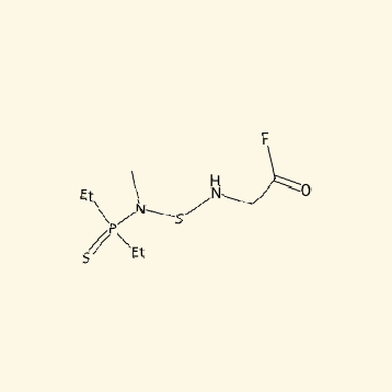 CCP(=S)(CC)N(C)SNCC(=O)F